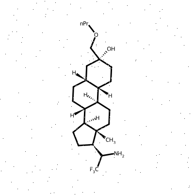 CCCOC[C@@]1(O)CC[C@H]2[C@H](CC[C@@H]3[C@@H]2CC[C@]2(C)[C@@H](C(N)C(F)(F)F)CC[C@@H]32)C1